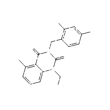 CCOC(=O)Cn1c(=O)n(Cc2ccc(Br)cc2F)c(=O)c2c(Cl)cccc21